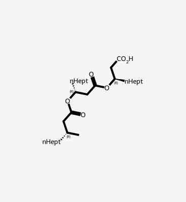 CCCCCCC[C@@H](C)CC(=O)O[C@H](CCCCCCC)CC(=O)O[C@H](CCCCCCC)CC(=O)O